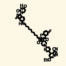 CCOc1cc(-c2ccc(N3CCC(NC(=O)c4cc(F)ccc4F)(C(=O)NCCCCCCCCCCNc4ccc5c(N6CCC(=O)NC6=O)nn(C)c5c4)CC3)nc2)c2c(C#N)cnn2c1